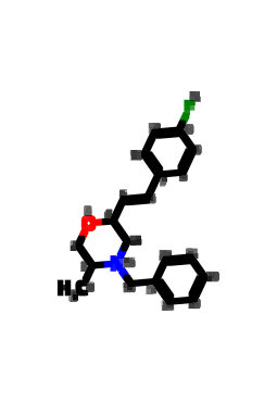 CC1COC(C=Cc2ccc(F)cc2)CN1Cc1ccccc1